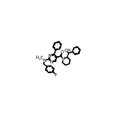 CN(Cc1ccc(F)cc1)c1ncc(C(=O)N2CCCCC2C(O)c2ccccc2)c(-c2ccccc2)n1